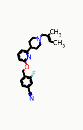 CC=C(C)CN1CCC(c2cccc(OCc3ccc(C#N)cc3F)n2)CC1